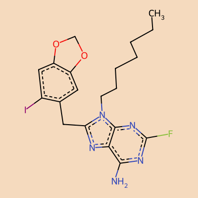 CCCCCCCn1c(Cc2cc3c(cc2I)OCO3)nc2c(N)nc(F)nc21